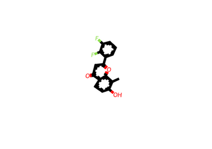 Cc1c(O)ccc2c(=O)cc(-c3cccc(F)c3F)oc12